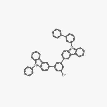 Brc1cc(-c2ccc3c(c2)c2ccccc2n3-c2ccccc2)cc(-c2ccc3c(c2)c2ccccc2n3-c2cccc(-c3ccccc3)c2)c1